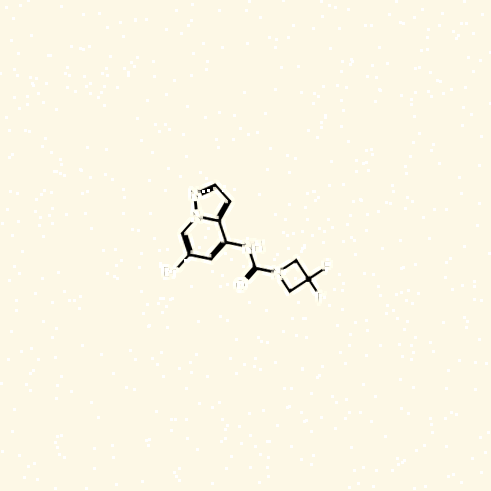 O=C(Nc1cc(Br)cn2nccc12)N1CC(F)(F)C1